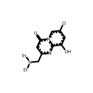 CCN(CC)Cc1cc(=O)n2cc(Cl)cc(O)c2n1